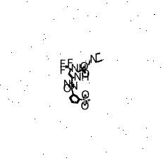 CCN(CC)CCOC(=O)CN/C(=C\C(=N)C(F)(F)F)c1noc(-c2cccc(S(C)(=O)=O)c2)n1